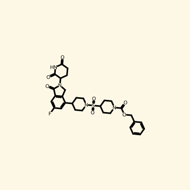 O=C1CCC(N2Cc3c(cc(F)cc3C3CCN(S(=O)(=O)C4CCN(C(=O)OCc5ccccc5)CC4)CC3)C2=O)C(=O)N1